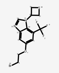 FC(F)(F)c1cc(OCCBr)cc2ncn(C3CSC3)c12